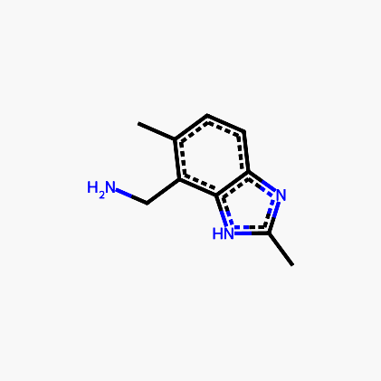 Cc1nc2ccc(C)c(CN)c2[nH]1